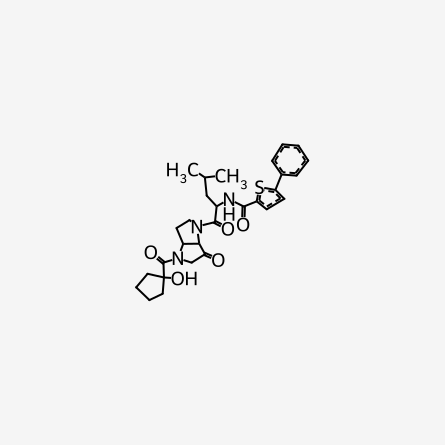 CC(C)CC(NC(=O)c1ccc(-c2ccccc2)s1)C(=O)N1CCC2C1C(=O)CN2C(=O)C1(O)CCCC1